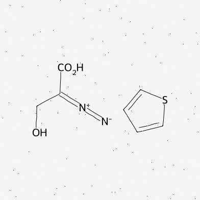 [N-]=[N+]=C(CO)C(=O)O.c1ccsc1